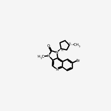 C[C@H]1CC[C@H](n2c(=O)n(C)c3cnc4ccc(Br)cc4c32)C1